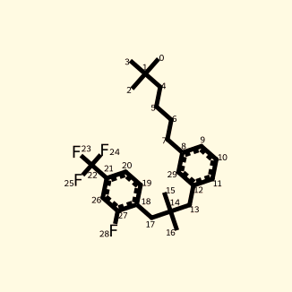 CC(C)(C)CCCCc1cccc(CC(C)(C)Cc2ccc(C(F)(F)F)cc2F)c1